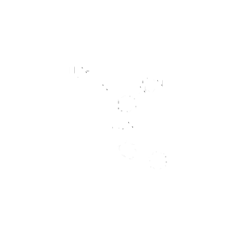 Cc1cn(-c2cc(CN3CCC[C@H](N)C3)cc(NC(=O)c3cccc(-c4ccccc4)c3)c2)cn1